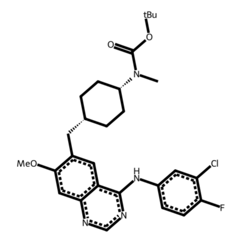 COc1cc2ncnc(Nc3ccc(F)c(Cl)c3)c2cc1C[C@H]1CC[C@@H](N(C)C(=O)OC(C)(C)C)CC1